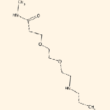 CCCNCCOCCOCCC(=O)NC